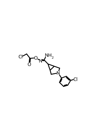 N/C(=N\OC(=O)CCl)C1C2CN(c3cccc(Cl)c3)CC21